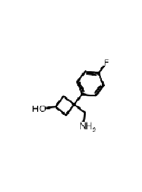 NCC1(c2ccc(F)cc2)CC(O)C1